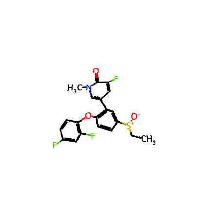 CC[S+]([O-])c1ccc(Oc2ccc(F)cc2F)c(-c2cc(F)c(=O)n(C)c2)c1